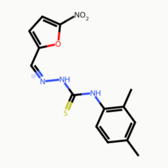 Cc1ccc(NC(=S)N/N=C\c2ccc([N+](=O)[O-])o2)c(C)c1